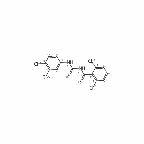 S=C(NC(=S)c1c(Cl)cccc1Cl)Nc1ccc(Cl)c(Cl)c1